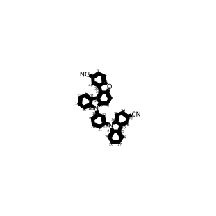 N#Cc1ccc2oc3ccc4c(c5ccccc5n4-c4cccc(-n5c6ccccc6c6cc(C#N)ccc65)c4)c3c2c1